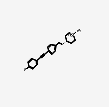 CCC[Si@H]1CC[C@H](CCc2ccc(C#Cc3ccc(F)cc3)cc2)CC1